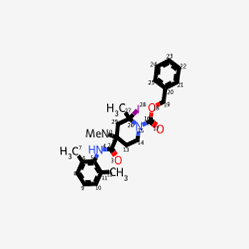 CNC1(C(=O)Nc2c(C)cccc2C)CCN(C(=O)OCc2ccccc2)C(C)(I)C1